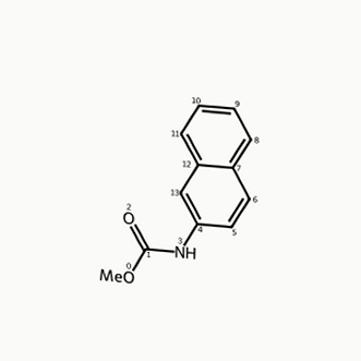 [CH2]OC(=O)Nc1ccc2ccccc2c1